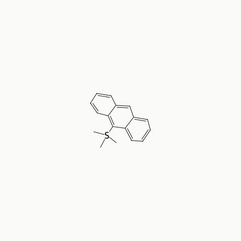 CS(C)(C)c1c2ccccc2cc2ccccc12